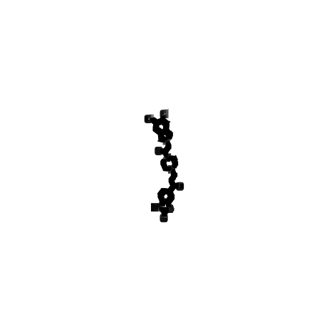 O=C(CCN1CCN(C(=O)Cn2cc3cc(Cl)c(Cl)cc3c2)CC1)c1ccc2[nH]c(=O)oc2c1